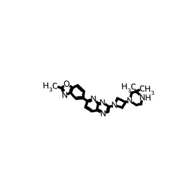 Cc1nc2cc(-c3ccc4ncc(N5CC(N6CCNC(C)(C)C6)C5)nc4n3)ccc2o1